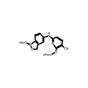 CCCCCOc1nc(Nc2ccc3c(c2)COB3OC)ccc1C#N